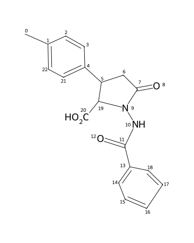 Cc1ccc(C2CC(=O)N(NC(=O)c3ccccc3)C2C(=O)O)cc1